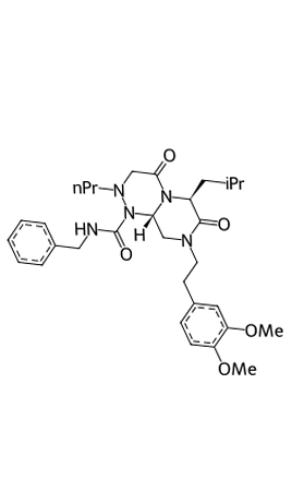 CCCN1CC(=O)N2[C@@H](CC(C)C)C(=O)N(CCc3ccc(OC)c(OC)c3)C[C@@H]2N1C(=O)NCc1ccccc1